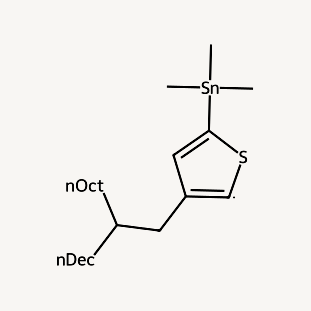 CCCCCCCCCCC(CCCCCCCC)Cc1[c]s[c]([Sn]([CH3])([CH3])[CH3])c1